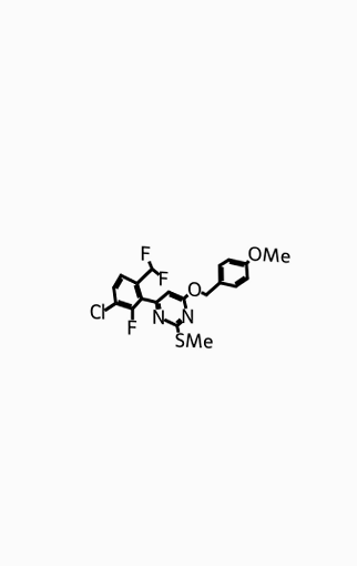 COc1ccc(COc2cc(-c3c(C(F)F)ccc(Cl)c3F)nc(SC)n2)cc1